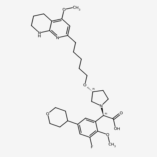 COc1cc(CCCCCO[C@@H]2CCN([C@@H](C(=O)O)c3cc(C4CCOCC4)cc(F)c3OC)C2)nc2c1CCCN2